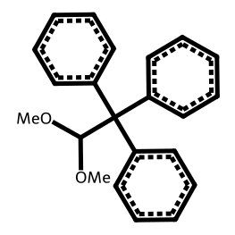 COC(OC)C(c1ccccc1)(c1ccccc1)c1ccccc1